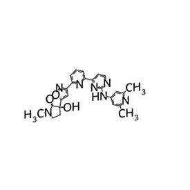 Cc1cc(Nc2nccc(-c3cccc(-c4cc([C@]5(O)CCN(C)C5=O)on4)n3)n2)cc(C)n1